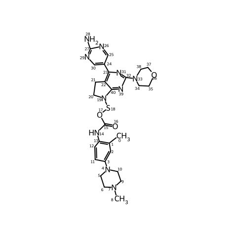 Cc1cc(N2CCN(C)CC2)ccc1NC(=O)OSN1CCc2c(-c3cnc(N)nc3)nc(N3CCOCC3)nc21